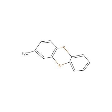 FC(F)(F)c1ccc2c(c1)Sc1ccccc1S2